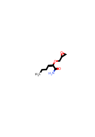 CCC/C=C(/OCC1CO1)C(N)=O